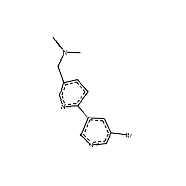 CN(C)Cc1ccc(-c2cncc(Br)c2)nc1